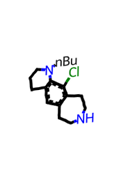 CCCCN1CCCc2cc3c(c(Cl)c21)CCNCC3